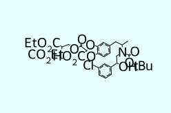 CCOC(=O)C(COC(=O)C1(C(=O)O)Oc2ccc(CC(C)N(CC(O)c3cccc(Cl)c3)C(=O)OC(C)(C)C)cc2O1)C(=O)OCC